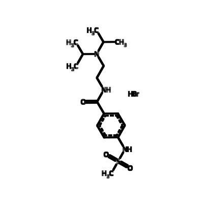 Br.CC(C)N(CCNC(=O)c1ccc(NS(C)(=O)=O)cc1)C(C)C